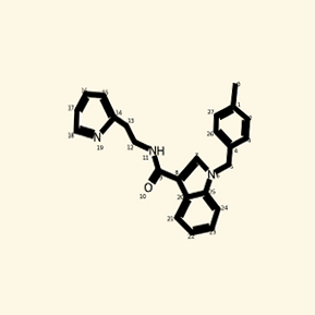 Cc1ccc(Cn2cc(C(=O)NCCc3ccccn3)c3ccccc32)cc1